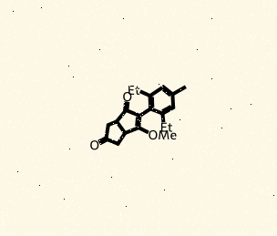 CCc1cc(C)cc(CC)c1C1=C(OC)C2CC(=O)CC2C1=O